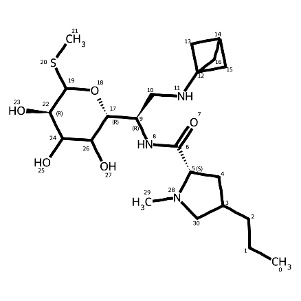 CCCC1C[C@@H](C(=O)N[C@H](CNC23CC(C2)C3)[C@H]2OC(SC)[C@H](O)C(O)C2O)N(C)C1